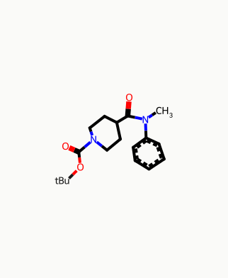 CN(C(=O)C1CCN(C(=O)OC(C)(C)C)CC1)c1ccccc1